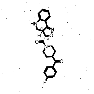 O=C(c1ccc(F)cc1)C1CCN(C(=O)[C@H]2ON=C3c4ccccc4NC[C@@H]32)CC1